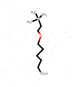 C[Si](C)(C)CCOCCCCCC(=O)O